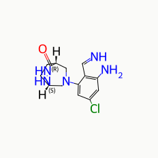 N=Cc1c(N)cc(Cl)cc1N1C[C@@H]2CC[C@H](C1)C(=O)NN2